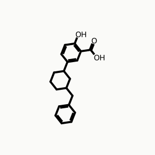 O=C(O)c1cc(C2CCCC(Cc3ccccc3)C2)ccc1O